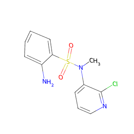 CN(c1cccnc1Cl)S(=O)(=O)c1ccccc1N